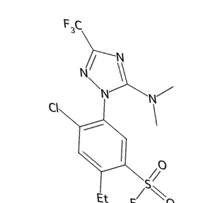 CCc1cc(Cl)c(-n2nc(C(F)(F)F)nc2N(C)C)cc1S(=O)(=O)F